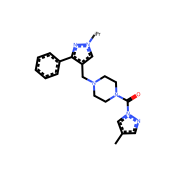 Cc1cnn(C(=O)N2CCN(Cc3cn(C(C)C)nc3-c3ccccc3)CC2)c1